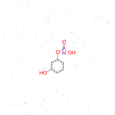 O=[PH](O)Oc1cccc(O)c1